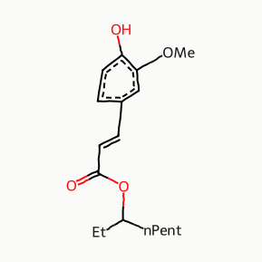 CCCCCC(CC)OC(=O)C=Cc1ccc(O)c(OC)c1